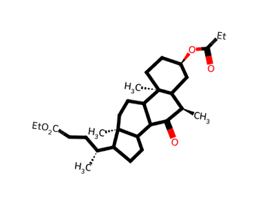 CCOC(=O)CC[C@@H](C)C1CCC2C3C(=O)[C@H](C)C4C[C@H](OC(=O)CC)CC[C@]4(C)C3CC[C@@]21C